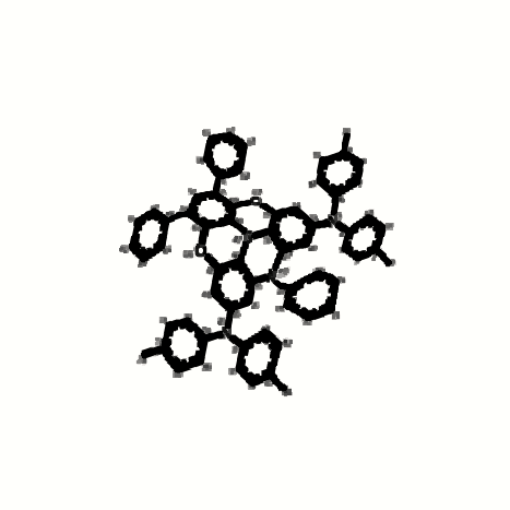 Cc1ccc(N(c2ccc(C)cc2)c2cc3c4c(c2)N(c2ccccc2)c2cc(N(c5ccc(C)cc5)c5ccc(C)cc5)cc5c2B4c2c(c(-c4ccccc4)cc(-c4ccccc4)c2O5)O3)cc1